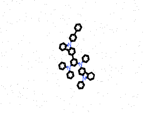 C1=Cc2c(c3cc(N(c4ccccc4)c4cc(-c5ccc6c(c5)c5ccccc5n6-c5ccc(-c6ccccc6)cc5)cc(N(c5ccccc5)c5ccccc5)c4)ccc3n2-c2ccccc2)CC1